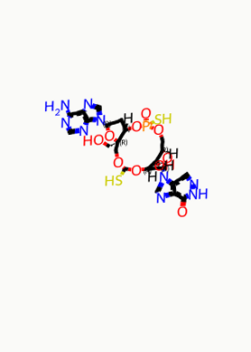 Nc1ncnc2c1ncn2[C@H]1C[C@@H]2OP(=O)(S)OC[C@H]3O[C@@H](n4cnc5c(=O)[nH]ncc54)[C@H](OC(S)OC[C@@]2(CO)O1)[C@@H]3O